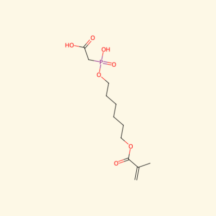 C=C(C)C(=O)OCCCCCCOP(=O)(O)CC(=O)O